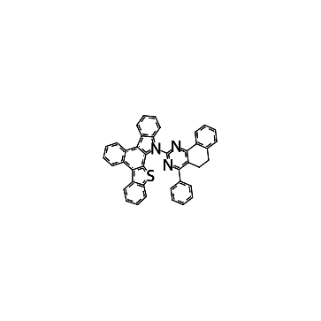 c1ccc(-c2nc(-n3c4ccccc4c4c5ccccc5c5c6ccccc6sc5c43)nc3c2CCc2ccccc2-3)cc1